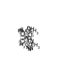 CC1=NN=NC1(C)c1cnc2c3ccc(C(C)(C)O)cc3n(C(c3ccccc3)C3CCC(F)(F)CC3)c2c1